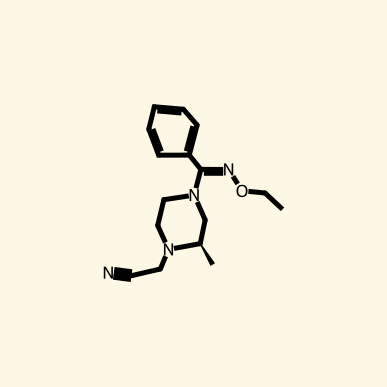 CCON=C(c1ccccc1)N1CCN(CC#N)[C@H](C)C1